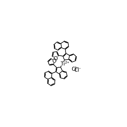 [Cl-].[Cl-].c1coc(C2=C(c3cccc4ccccc34)c3ccccc3[CH]2[Ti+2][CH]2C(c3ccco3)=C(c3cccc4ccccc34)c3ccccc32)c1